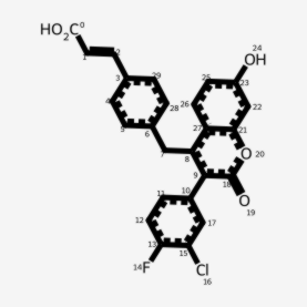 O=C(O)/C=C/c1ccc(Cc2c(-c3ccc(F)c(Cl)c3)c(=O)oc3cc(O)ccc23)cc1